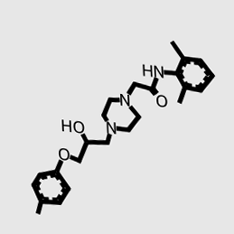 Cc1ccc(OCC(O)CN2CCN(CC(=O)Nc3c(C)cccc3C)CC2)cc1